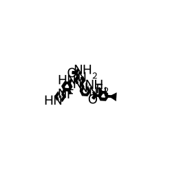 NC(=O)c1ncc(N2CCC[C@@H](NC(=O)c3ccc(C4CC4)cc3F)[C@H]2N)nc1Nc1ccc(N2CCNCC2)c(F)c1